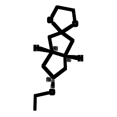 CCO[C@@H]1C[C@@H]2CC3(C[C@@H]2C1)OCCO3